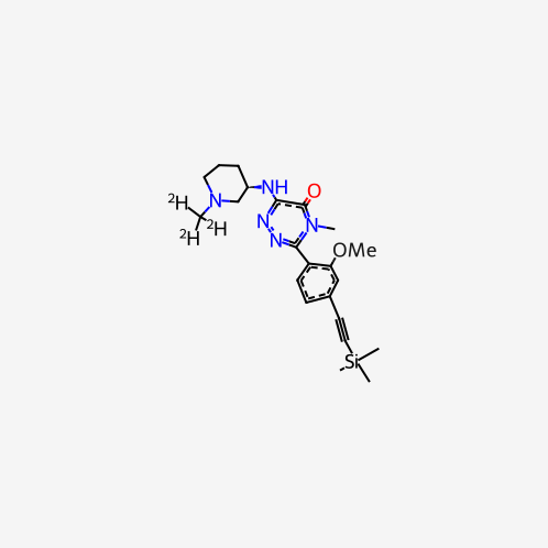 [2H]C([2H])([2H])N1CCC[C@@H](Nc2nnc(-c3ccc(C#C[Si](C)(C)C)cc3OC)n(C)c2=O)C1